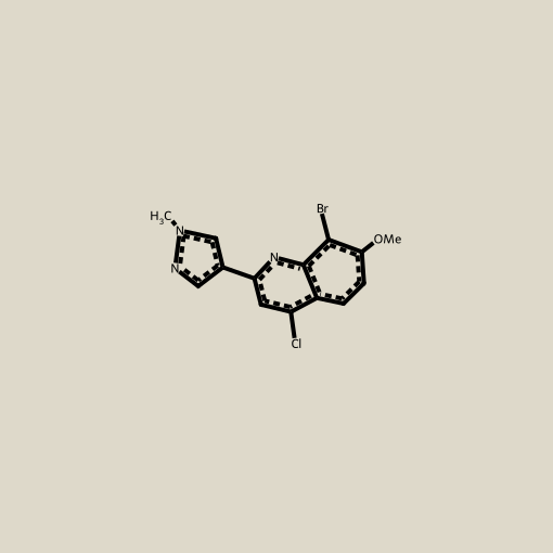 COc1ccc2c(Cl)cc(-c3cnn(C)c3)nc2c1Br